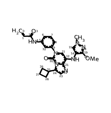 C=CC(=O)Nc1cccc(-n2cc(Nc3cn(C)nc3OC)c3ncc(C4CCC4)n3c2=O)c1